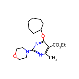 CCOC(=O)c1c(C)nc(N2CCOCC2)nc1OC1CCCCCC1